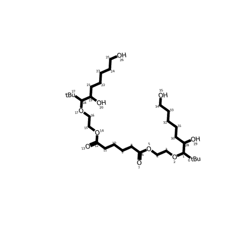 CC(C)(C)C(OCCOC(=O)CCCCC(=O)OCCOC(C(O)CCCCCO)C(C)(C)C)C(O)CCCCCO